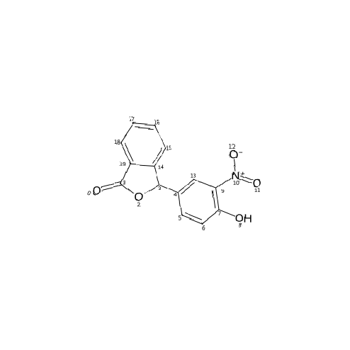 O=C1OC(c2ccc(O)c([N+](=O)[O-])c2)c2ccccc21